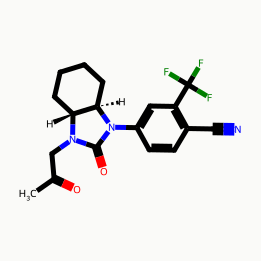 CC(=O)CN1C(=O)N(c2ccc(C#N)c(C(F)(F)F)c2)[C@@H]2CCCC[C@H]21